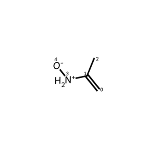 C=C(C)[NH2+][O-]